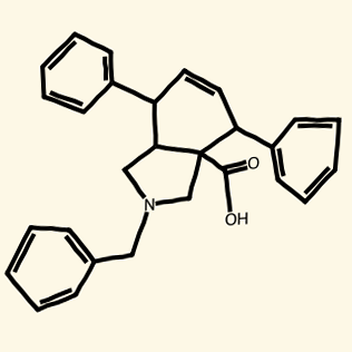 O=C(O)C12CN(Cc3ccccc3)CC1C(c1ccccc1)C=CC2c1ccccc1